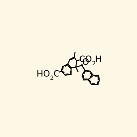 CC1=Cc2cc(C(=O)O)ccc2C(C)(C(=O)c2ccc3ccccc3c2)C1C(=O)O